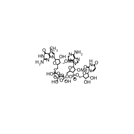 COC[C@@H]1[C@@H](CSP(=O)(O)OP(=O)(O)OP(=O)(O)OCC2O[C@@H](n3cnc4c(N)ncnc43)[C@H](OC)[C@@H]2P(=O)([O-])OC[C@H]2O[C@@H](n3ccc(=O)[nH]c3=O)[C@H](O)[C@@H]2O)OC(n2c[n+](C)c3c(=O)[nH]c(N)nc32)[C@@H]1O